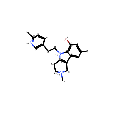 Cc1cc(Br)c2c(c1)c1c(n2CCc2ccc(C)nc2)CCN(C)C1